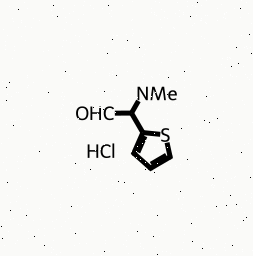 CNC(C=O)c1cccs1.Cl